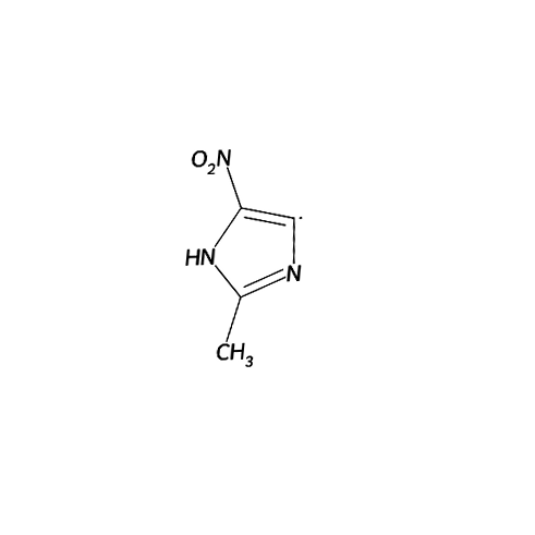 Cc1n[c]c([N+](=O)[O-])[nH]1